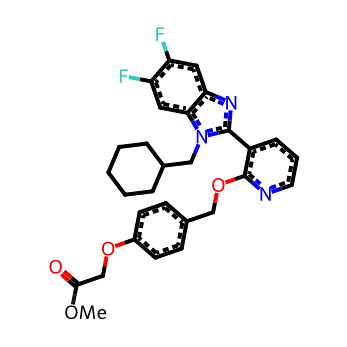 COC(=O)COc1ccc(COc2ncccc2-c2nc3cc(F)c(F)cc3n2CC2CCCCC2)cc1